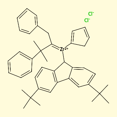 CC(C)(C)c1ccc2c(c1)-c1cc(C(C)(C)C)ccc1[CH]2/[Zr+2]([C]1=CC=CC1)=[C](/Cc1ccccc1)C(C)(C)c1ccccc1.[Cl-].[Cl-]